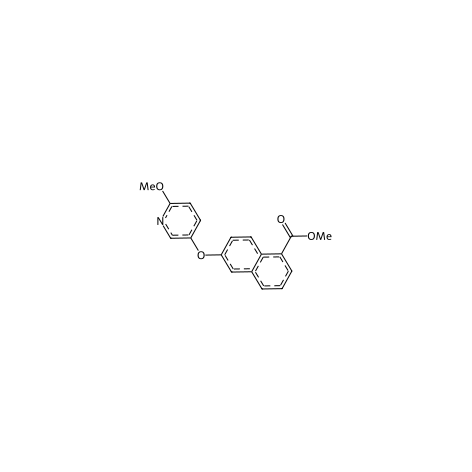 COC(=O)c1cccc2cc(Oc3ccc(OC)nc3)ccc12